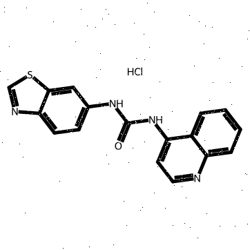 Cl.O=C(Nc1ccc2ncsc2c1)Nc1ccnc2ccccc12